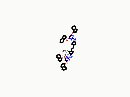 O=S(=O)(O)c1c(C=Cc2ccc(Nc3nc(Oc4cccc5ccccc45)cc(Oc4cccc5ccccc45)n3)cc2)ccc(Nc2nc(Oc3cccc4ccccc34)cc(Oc3cccc4ccccc34)n2)c1S(=O)(=O)O